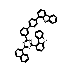 c1cc(-c2ccc(-c3cccc4c3sc3ccccc34)cc2)cc(-c2nc(-c3cccc4ccccc34)nc(-c3cccc4oc5ccccc5c34)n2)c1